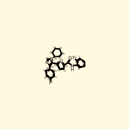 O=C(Nc1ccccc1F)c1ccc(-c2c(-c3ccc(F)cc3)ncn2C2CCCCC2)o1